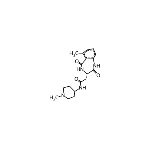 Cc1cccc2c1C(=O)N[C@@H](CC(=O)NC1CCN(C)CC1)C(=O)N2